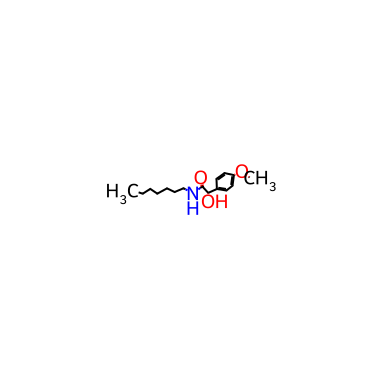 CCCCCCCNC(=O)C(O)c1ccc(OC)cc1